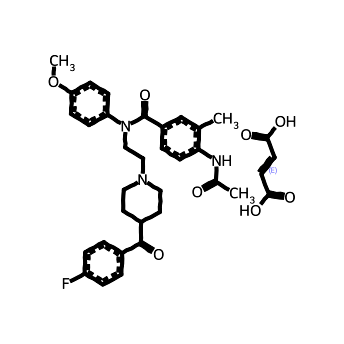 COc1ccc(N(CCN2CCC(C(=O)c3ccc(F)cc3)CC2)C(=O)c2ccc(NC(C)=O)c(C)c2)cc1.O=C(O)/C=C/C(=O)O